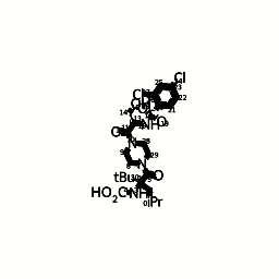 CC(C)C[C@@](NC(=O)O)(C(=O)N1CCN(C(=O)[C@H](CO)NS(=O)(=O)c2ccc(Cl)cc2Cl)CC1)C(C)(C)C